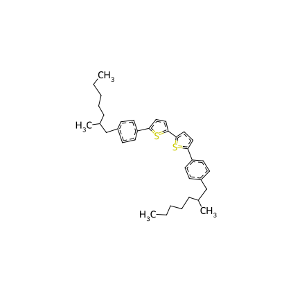 CCCCCC(C)Cc1ccc(-c2ccc(-c3ccc(-c4ccc(CC(C)CCCCC)cc4)s3)s2)cc1